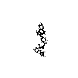 COc1cccc2c(C3CCN(CC4C[C@H]4C(=O)N4CCCCC4Cn4ccnc4)CC3)noc12